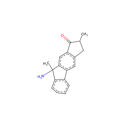 CC1Cc2cc3c(cc2C1=O)C(C)(N)c1ccccc1-3